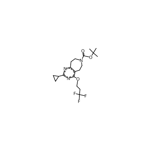 CC(C)(C)OC(=O)N1CCc2nc(C3CC3)nc(OCCC(F)(F)F)c2CC1